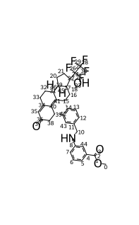 COC(=O)c1cccc(NCc2ccc([C@H]3C[C@@]4(C)[C@@H](CC[C@@]4(O)C(F)(F)C(F)(F)F)[C@@H]4CCC5=CC(=O)CCC5=C43)cc2)c1